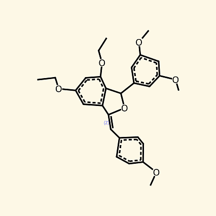 CCOc1cc(OCC)c2c(c1)/C(=C/c1ccc(OC)cc1)OC2c1cc(OC)cc(OC)c1